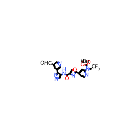 Cn1cc(NC(=O)c2coc(-c3ccnc(N(CC(F)(F)F)C(=O)OC(C)(C)C)c3)n2)c(-c2cncc(C=O)c2)n1